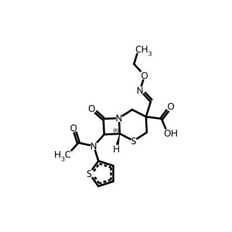 CCON=CC1(C(=O)O)CS[C@@H]2C(N(C(C)=O)c3cccs3)C(=O)N2C1